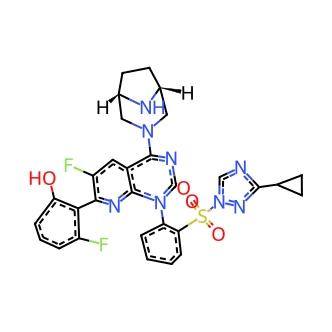 O=c1nc(N2C[C@H]3CC[C@@H](C2)N3)c2cc(F)c(-c3c(O)cccc3F)nc2n1-c1ccccc1S(=O)(=O)n1cnc(C2CC2)n1